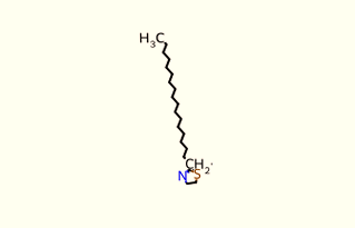 [CH2]CCCCCCCCCCCCCCCCC.[C]1=NCCS1